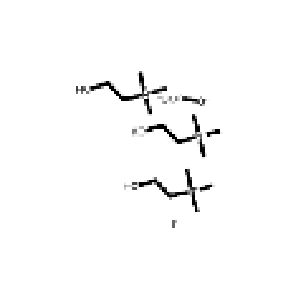 C[N+](C)(C)CCO.C[N+](C)(C)CCO.C[N+](C)(C)CCO.O=C([O-])[O-].[I-]